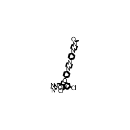 CC(=O)N1CCN(c2ccc(N3CCN(c4ccc(OCC(O)(Cn5cncn5)c5ccc(Cl)cc5Cl)cc4)CC3)cc2)CC1